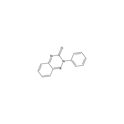 O=c1nc2ccccc2bn1-c1ccccc1